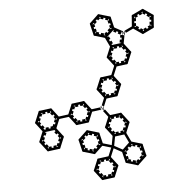 c1ccc(-n2c3ccccc3c3cc(-c4ccc(N(c5ccc(-c6cccc7ccccc67)cc5)c5ccc6c(c5)C(c5ccccc5)(c5ccccc5)c5ccccc5-6)cc4)ccc32)cc1